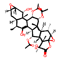 CC(=O)O[C@H]1[C@@H]2[C@H]([C@H](C)[C@H]3O[C@]34OC(=O)[C@@](C)(O)[C@]24C)[C@]2(C)[C@@H]1C1=C(O)[C@@H](C)[C@H]3C[C@@H]4O[C@@H]4[C@H](O)[C@]3(C)C1[C@H](OC(C)=O)[C@@H]2OC(C)=O